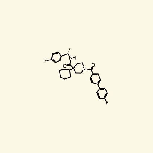 C[C@H](NC(=O)C1(C2CCCCC2)CCN(C(=O)c2ccc(-c3ccc(F)cc3)cc2)CC1)c1ccc(F)cc1